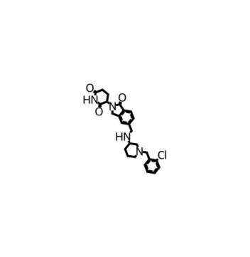 O=C1CCC(N2Cc3cc(CNC4CCCN(Cc5ccccc5Cl)C4)ccc3C2=O)C(=O)N1